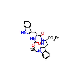 CCOC(=O)C(Cc1cn(C)c2ccccc12)NC(=O)[C@H](Cc1c[nH]c2ccccc12)NC(=O)OC(C)(C)C